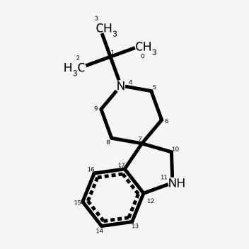 CC(C)(C)N1CCC2(CC1)CNc1ccccc12